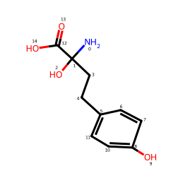 NC(O)(CCc1ccc(O)cc1)C(=O)O